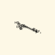 CC/C(=C(\c1ccc(O)cc1)c1ccc(OCCNCCCCCCCC[S+]([O-])CCCC(F)(F)C(F)(F)F)cc1)c1ccccc1